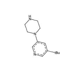 CC(C)(C)c1cncc(N2CCNCC2)c1